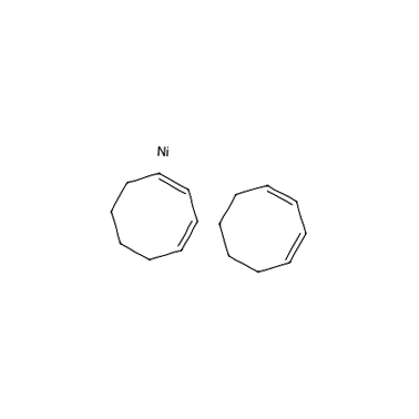 C1=CCCCCC=C1.C1=CCCCCC=C1.[Ni]